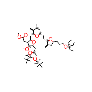 C=C1CC(CCCO[Si](CC)(CC)CC)O[C@H]1CC[C@H]1C[C@@H](C)C(=C)[C@@H](CC2OC(C[C@@H](CO[Si](C)(C)C(C)(C)C)O[Si](C)(C)C(C)(C)C)[C@H](OC)C2CC(=O)OC)O1